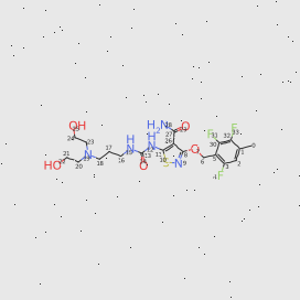 Cc1cc(F)c(COc2nsc(NC(=O)NCCCN(CCO)CCO)c2C(N)=O)c(F)c1F